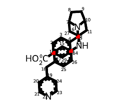 O=C(O)c1ccc(CN2C3CCC2CC(Nc2ccc(Cc4ccncc4)cc2)C3)cc1